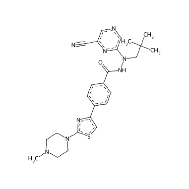 CN1CCN(c2nc(-c3ccc(C(=O)NN(CC(C)(C)C)c4cncc(C#N)n4)cc3)cs2)CC1